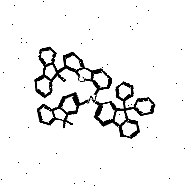 CC1(C)c2ccccc2-c2ccc(N(c3ccc4c(c3)C(c3ccccc3)(c3ccccc3)c3ccccc3-4)c3cccc4c3oc3c(C5(C)c6ccccc6-c6ccccc65)cccc34)cc21